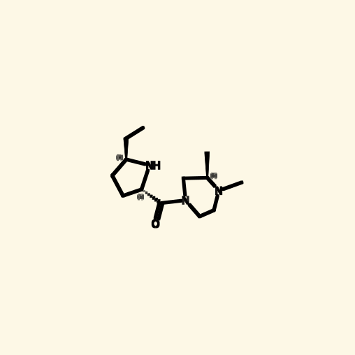 CC[C@@H]1CC[C@@H](C(=O)N2CCN(C)[C@H](C)C2)N1